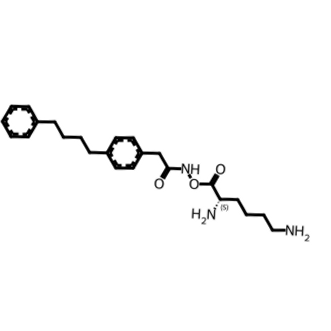 NCCCC[C@H](N)C(=O)ONC(=O)Cc1ccc(CCCCc2ccccc2)cc1